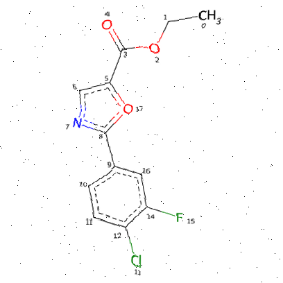 CCOC(=O)c1cnc(-c2ccc(Cl)c(F)c2)o1